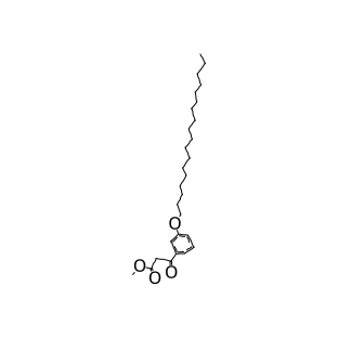 CCCCCCCCCCCCCCCCCCOc1cccc(C(=O)CC(=O)OC)c1